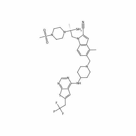 Cc1c(CN2CCC(Nc3ncnc4sc(CC(F)(F)F)cc34)CC2)ccc2c1cc(C#N)n2C[C@](C)([SiH3])N1CCN(S(C)(=O)=O)CC1